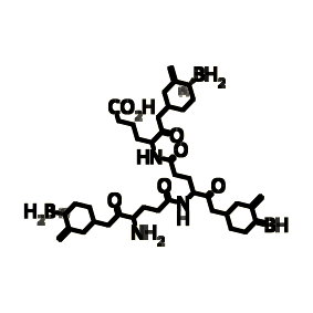 B=C1CCC(CC(=O)C(CCC(=O)NC(CCCC(=O)O)C(=O)CC2CC[C@H](B)C(=C)C2)NC(=O)CCC(N)C(=O)CC2CC[C@H](B)C(=C)C2)CC1=C